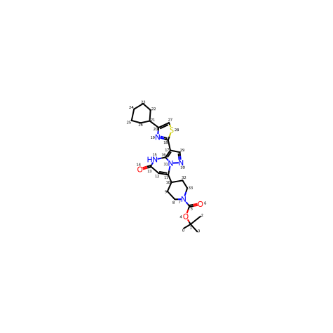 CC(C)(C)OC(=O)N1CCC(c2cc(=O)[nH]c3c(-c4nc(C5CCCCC5)cs4)cnn23)CC1